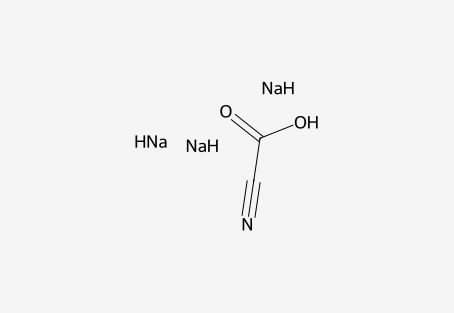 N#CC(=O)O.[NaH].[NaH].[NaH]